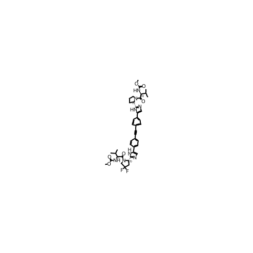 COC(=O)N[C@H](C(=O)N1CCC[C@H]1c1ncc(-c2ccc(C#Cc3ccc(-c4cnc([C@@H]5CC(F)(F)CN5C(=O)[C@@H](NC(=O)OC)C(C)C)[nH]4)cc3)cc2)[nH]1)C(C)C